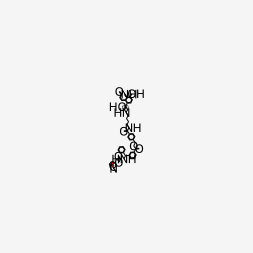 O=C(NC(c1ccccc1)c1cccc(C(=O)OCc2ccc(C(=O)NCCCCNC[C@H](O)c3ccc(O)c4[nH]c(=O)ccc34)cc2)c1)O[C@H]1CN2CCC1CC2